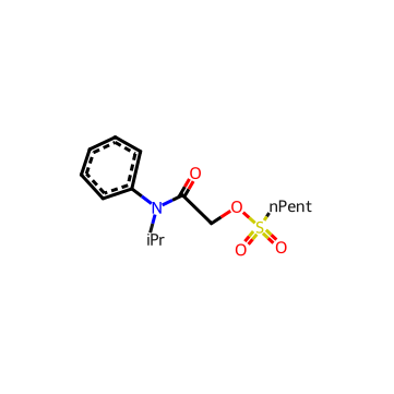 CCCCCS(=O)(=O)OCC(=O)N(c1ccccc1)C(C)C